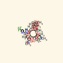 CO/N=C1\C[C@@H](C)O[C@@H](O[C@@H]2[C@@H](C)[C@H](O[C@H]3CC(C)N(C)C[C@H](C)O3)[C@@H](C)C(=O)O[C@H]([C@@H](C)CO[C@@H]3O[C@H](C)[C@@H](O)[C@@H](OC)[C@H]3OC)[C@H](C)[C@@H](OC(=O)CC(C)C)[C@@H](C)C(=O)[C@@](C)(OC(=O)NCc3ccc(C(F)(F)F)cn3)C[C@@H]2C)[C@@H]1O